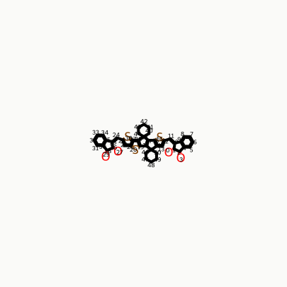 O=C1C(=O)c2ccccc2/C1=C/c1cc2c(s1)C1=C(c3sc4cc(/C=C5\C(=O)C(=O)c6ccccc65)sc4c3C13CCCCC3)C21CCCCC1